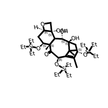 CC[Si](CC)(CC)O[C@H]1C(=O)[C@@]2(C)C([C@H](O)[C@]3(O)C[C@H](O[Si](CC)(CC)CC)C(C)=C1C3(C)C)[C@]1(OC(C)=O)CO[C@@H]1C[C@@H]2O[Si](CC)(CC)CC